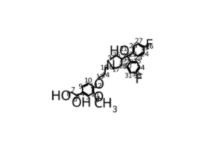 COc1cc(C(O)CO)ccc1OCCCN1CCC(C(O)(c2ccc(F)cc2)c2ccc(F)cc2)CC1